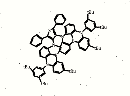 CC(C)(C)c1cc(N2c3ccc(C(C)(C)C)cc3B3c4ccc5c6c4N(c4cccc2c43)c2c(-c3ccccc3)sc(-c3ccccc3)c2N6c2cccc3c2B5c2ccc(C(C)(C)C)cc2N3c2cc(C(C)(C)C)cc(C(C)(C)C)c2)cc(C(C)(C)C)c1